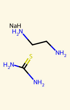 NC(N)=S.NCCN.[NaH]